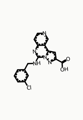 O=C(O)c1cc2c3cnccc3nc(NCc3cccc(Cl)c3)n2n1